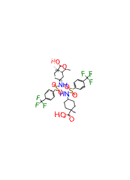 CC1(C(=O)O)CCC(NS(=O)(=O)c2ccc(C(F)(F)F)cc2)CC1.CCC1C[C@H](NS(=O)(=O)c2ccc(C(F)(F)F)cc2)CC[C@@]1(C)C(=O)O